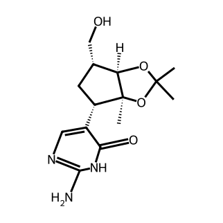 CC1(C)O[C@@H]2[C@@H](CO)C[C@@H](c3cnc(N)[nH]c3=O)[C@]2(C)O1